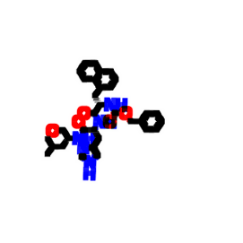 CC(C)C[C@@H](C=O)NC(=O)[C@H](Cc1c[nH]cn1)NC(=O)[C@H](Cc1cccc2ccccc12)NC(=O)OCc1ccccc1